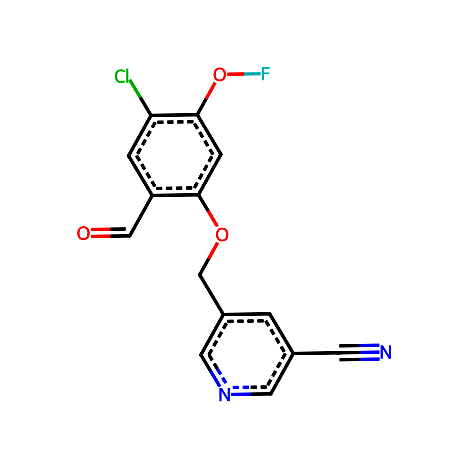 N#Cc1cncc(COc2cc(OF)c(Cl)cc2C=O)c1